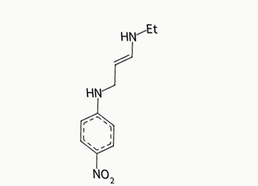 CCNC=CCNc1ccc([N+](=O)[O-])cc1